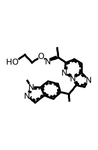 CC(=NOCCO)c1ccc2ncc(C(C)c3ccc4c(cnn4C)c3)n2n1